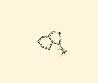 [F][Cu]([F])([F])([F])([F])([F])([F])[c]1cccc2ccccc12